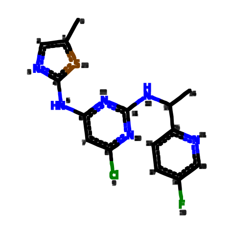 Cc1cnc(Nc2cc(Cl)nc(NC(C)c3ccc(F)cn3)n2)s1